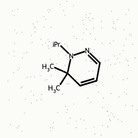 CC(C)N1N=CC=CC1(C)C